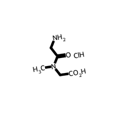 CN(CC(=O)O)C(=O)CN.Cl